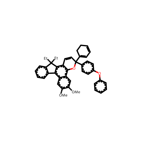 CCC1(CC)c2ccccc2-c2c1c1c(c3cc(OC)c(OC)cc23)OC(C2=CC=CCC2)(c2ccc(Oc3ccccc3)cc2)C=C1